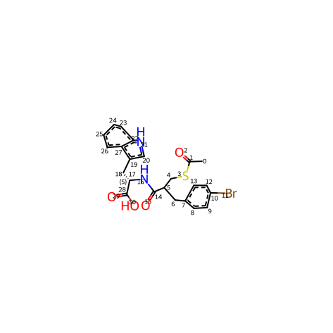 CC(=O)SCC(Cc1ccc(Br)cc1)C(=O)N[C@@H](Cc1c[nH]c2ccccc12)C(=O)O